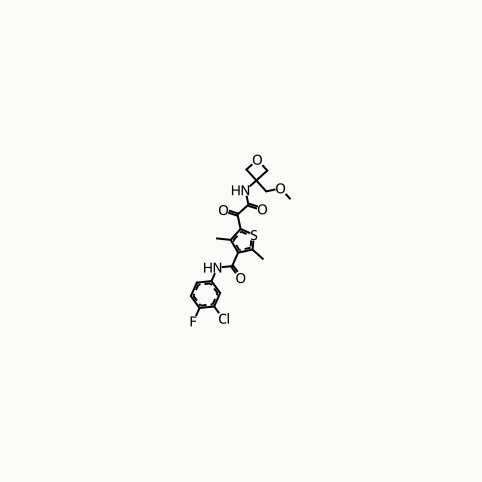 COCC1(NC(=O)C(=O)c2sc(C)c(C(=O)Nc3ccc(F)c(Cl)c3)c2C)COC1